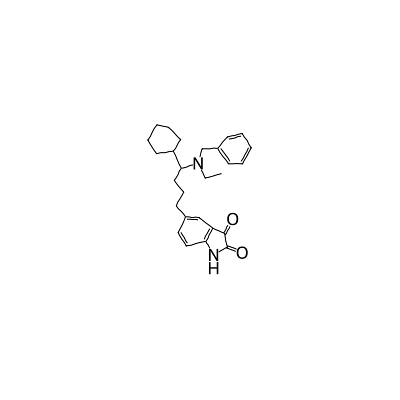 CCN(Cc1ccccc1)C(CCCc1ccc2c(c1)C(=O)C(=O)N2)C1CCCCC1